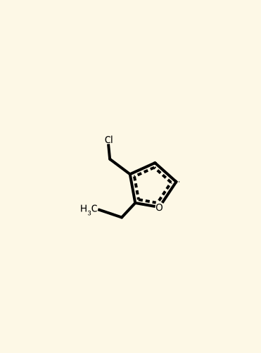 CCc1o[c]cc1CCl